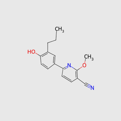 CCCc1cc(-c2ccc(C#N)c(OC)n2)ccc1O